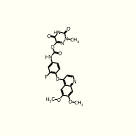 COc1cc2nccc(Oc3ccc(NC(=O)Oc4nn(C)c(=O)[nH]c4=O)cc3F)c2cc1OC